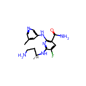 Cc1cncc(Nc2nc(N[C@H](C)CCN)c(F)cc2C(N)=O)c1